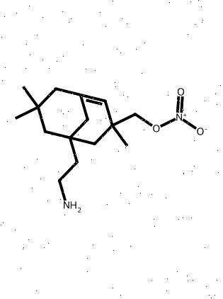 CC1(C)CC2=CC(C)(CO[N+](=O)[O-])CC(CCN)(C2)C1